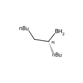 B[C@H](CCCC)CCCCC